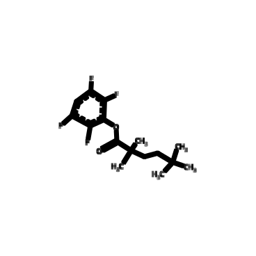 CC(C)(C)CCC(C)(C)C(=O)Oc1c(F)c(F)cc(F)c1F